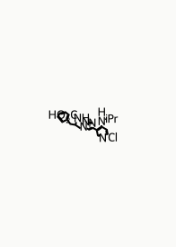 CC(C)Nc1cc(Cl)ncc1-c1cn(CC(Cc2ccccc2)NC(=O)O)nn1